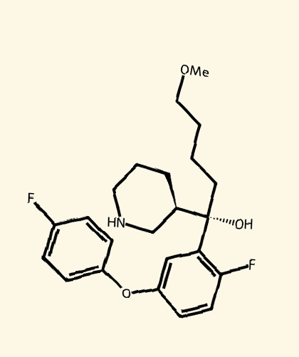 COCCCC[C@@](O)(c1cc(Oc2ccc(F)cc2)ccc1F)[C@@H]1CCCNC1